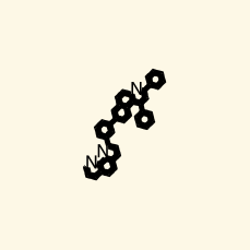 c1ccc(-c2cc(-c3ccccc3)c3c(ccc4cc(-c5cccc(-c6ccc7ccc8cccnc8c7n6)c5)ccc43)n2)cc1